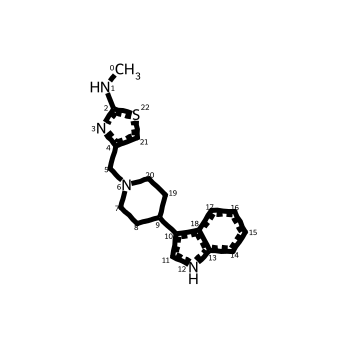 CNc1nc(CN2CCC(c3c[nH]c4ccccc34)CC2)cs1